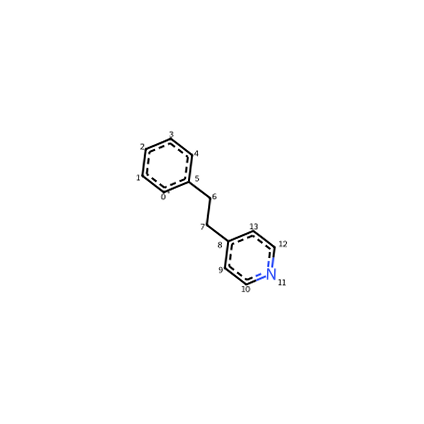 [c]1ccccc1CCc1ccncc1